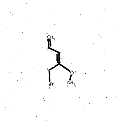 C=C/C=C(\CC(C)C)ON